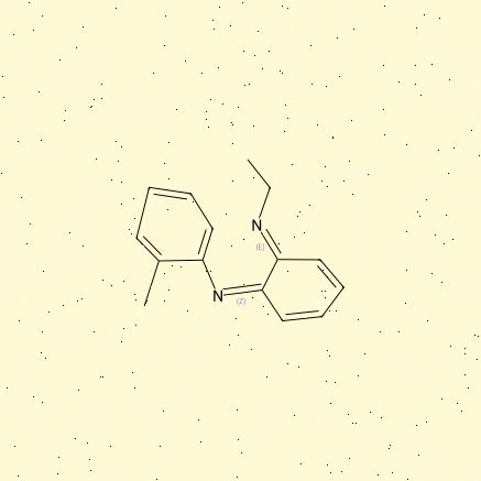 CC/N=C1\C=CC=C\C1=N\c1ccccc1C